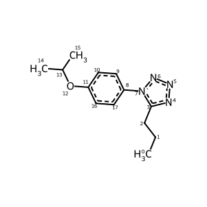 CCCc1nnnn1-c1ccc(OC(C)C)cc1